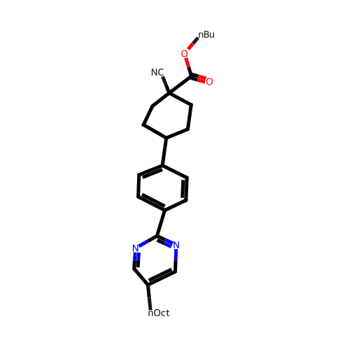 CCCCCCCCc1cnc(-c2ccc(C3CCC(C#N)(C(=O)OCCCC)CC3)cc2)nc1